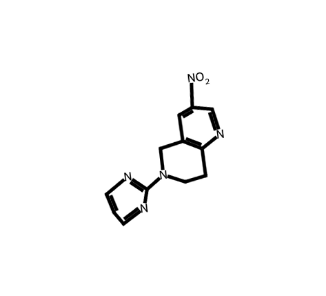 O=[N+]([O-])c1cnc2c(c1)CN(c1ncccn1)CC2